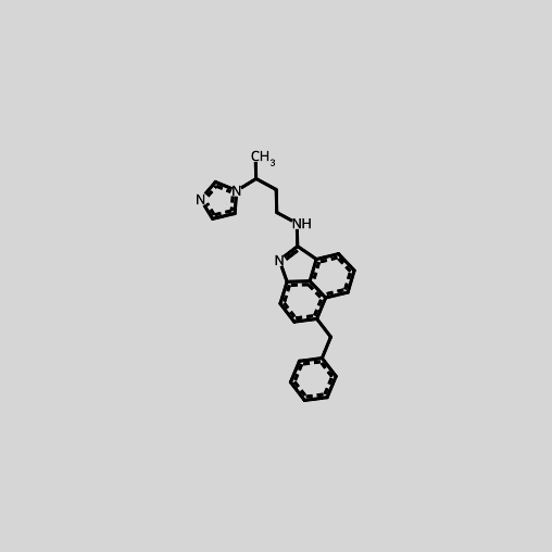 CC(CCNC1=Nc2ccc(Cc3ccccc3)c3cccc1c23)n1ccnc1